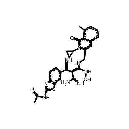 CC(=O)Nc1nc2ccc(C(=N)/C(C(=N)N)=C(/NO)NCc3cc4cccc(C)c4c(=O)n3C3CC3)cc2s1